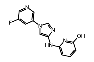 Oc1cccc(Nc2cn(-c3cncc(F)c3)cn2)n1